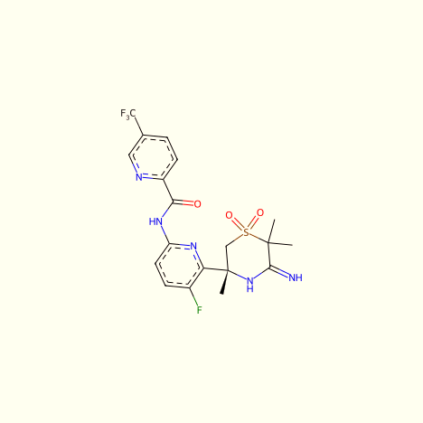 CC1(C)C(=N)N[C@](C)(c2nc(NC(=O)c3ccc(C(F)(F)F)cn3)ccc2F)CS1(=O)=O